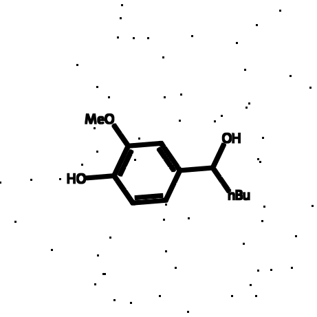 CCCCC(O)c1ccc(O)c(OC)c1